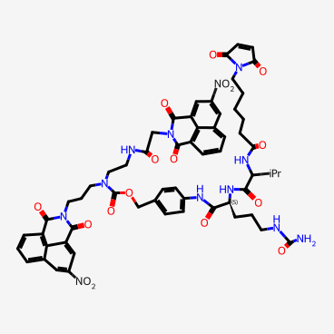 CC(C)C(NC(=O)CCCCCN1C(=O)C=CC1=O)C(=O)N[C@@H](CCCNC(N)=O)C(=O)Nc1ccc(COC(=O)N(CCCN2C(=O)c3cccc4cc([N+](=O)[O-])cc(c34)C2=O)CCNC(=O)CN2C(=O)c3cccc4cc([N+](=O)[O-])cc(c34)C2=O)cc1